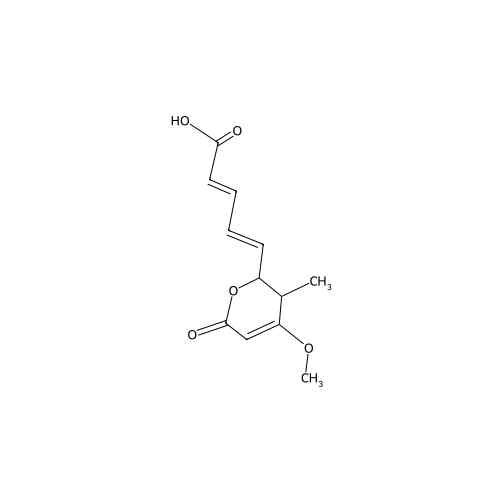 COC1=CC(=O)OC(/C=C/C=C/C(=O)O)C1C